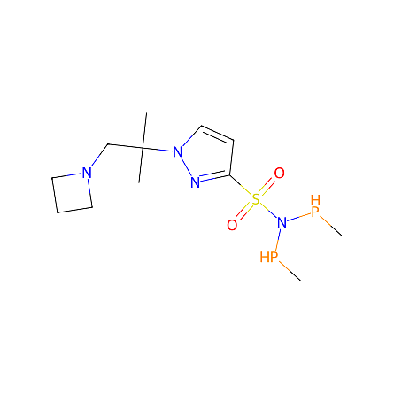 CPN(PC)S(=O)(=O)c1ccn(C(C)(C)CN2CCC2)n1